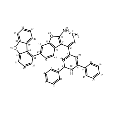 C/C=C(/C1=NC(c2ccccc2)NC(c2ccccc2)=N1)c1c(N)oc2cc(-c3cccc4oc5ccccc5c34)ccc12